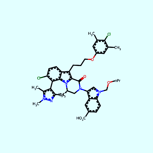 CCCOCn1cc(N2C[C@@H](C)n3c(c(CCCOc4cc(C)c(Cl)c(C)c4)c4ccc(Cl)c(-c5c(C)nn(C)c5C)c43)C2=O)c2cc(C(=O)O)ccc21